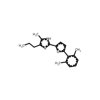 CCCc1nc(-c2ccc(-c3c(C)cccc3C)o2)[nH]c1C